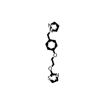 c1cnn(Cc2ccc(OCCOc3nccs3)cc2)c1